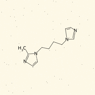 Cc1n[c]cn1CCCCn1ccnc1